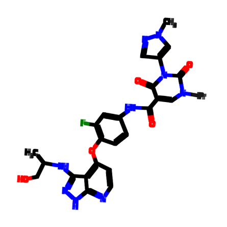 CC(CO)Nc1n[nH]c2nccc(Oc3ccc(NC(=O)c4cn(C(C)C)c(=O)n(-c5cnn(C)c5)c4=O)cc3F)c12